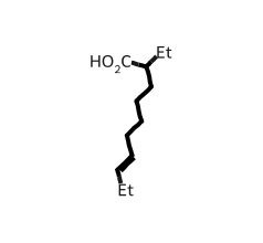 CCC=CCCCCC(CC)C(=O)O